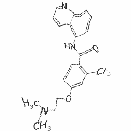 CN(C)CCOc1ccc(C(=O)Nc2cccc3ncccc23)c(C(F)(F)F)c1